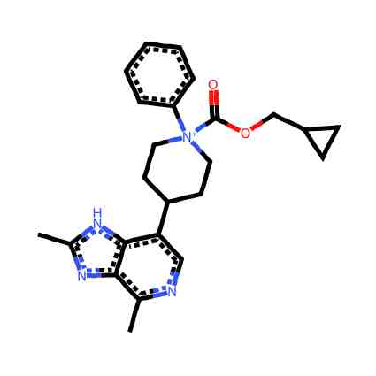 Cc1nc2c(C)ncc(C3CC[N+](C(=O)OCC4CC4)(c4ccccc4)CC3)c2[nH]1